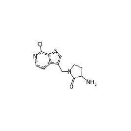 NC1CCN(Cc2csc3c(Cl)nccc23)C1=O